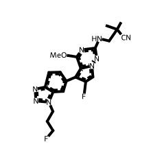 COc1nc(NCC(C)(C)C#N)nn2cc(F)c(-c3ccc4nnn(CCCF)c4c3)c12